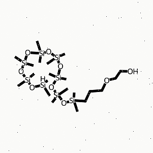 C[SiH](C)O[Si](C)(C)O[Si](C)(C)O[Si](C)(C)O[Si](C)(C)O[Si](C)(C)O[Si](C)(C)O[Si](C)(C)CCCOCCO